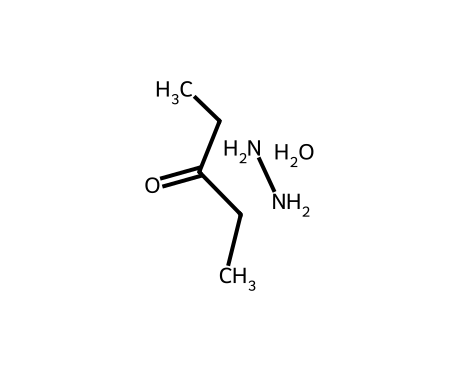 CCC(=O)CC.NN.O